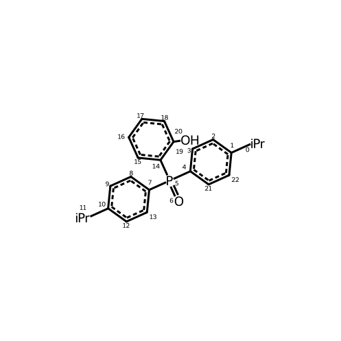 CC(C)c1ccc(P(=O)(c2ccc(C(C)C)cc2)c2ccccc2O)cc1